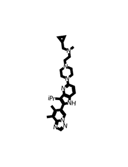 Cc1c(-c2[nH]c3ccc(N4CCN(CCN(C)CC5CC5)CC4)nc3c2C(C)C)cn2ncnc2c1C